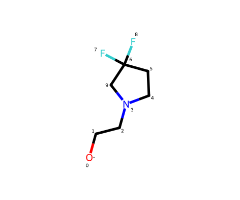 [O]CCN1CCC(F)(F)C1